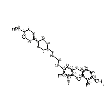 CCCC1CC=C(C2CCC(CCCCc3cc4c(c(F)c3F)Oc3c(ccc(C)c3F)C4)CC2)CO1